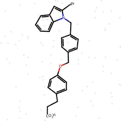 CC(C)c1cc2ccccc2n1Cc1ccc(COc2ccc(CCC(=O)O)cc2)cc1